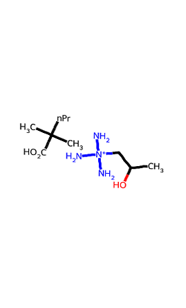 CC(O)C[N+](N)(N)N.CCCC(C)(C)C(=O)O